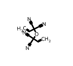 C=CC(C#N)(C#N)OC(C#N)(C#N)C=C